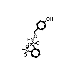 CS(=O)(=O)c1ccccc1S(=O)(=O)NOCc1ccc(O)cc1